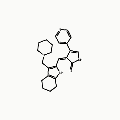 O=C1NN=C(c2ccncn2)C1=Cc1[nH]c2c(c1CN1CCCCC1)CCCC2